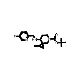 CC1CC12CN(C(=O)OC(C)(C)C)CCC2NCc1ccc(F)cn1